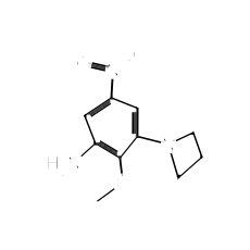 COc1c(N)cc([N+](=O)[O-])cc1N1CCC1